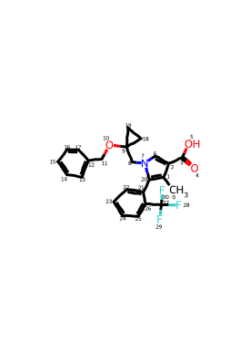 Cc1c(C(=O)O)cn(CC2(OCc3ccccc3)CC2)c1-c1ccccc1C(F)(F)F